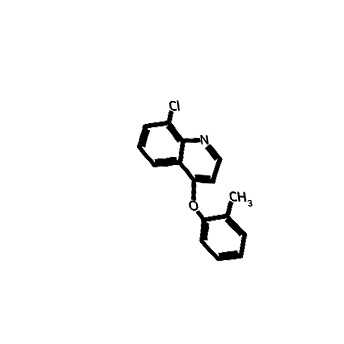 Cc1ccccc1Oc1ccnc2c(Cl)cccc12